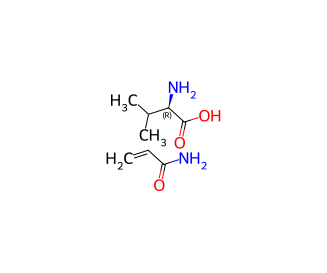 C=CC(N)=O.CC(C)[C@@H](N)C(=O)O